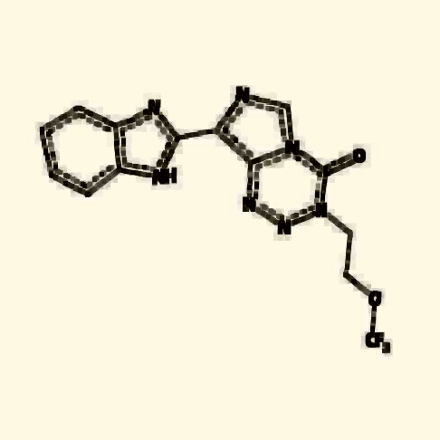 O=c1n(CCOC(F)(F)F)nnc2c(-c3nc4ccccc4[nH]3)ncn12